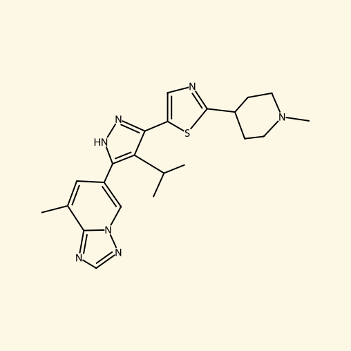 Cc1cc(-c2[nH]nc(-c3cnc(C4CCN(C)CC4)s3)c2C(C)C)cn2ncnc12